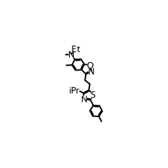 CCN(C)c1cc2onc(CCc3sc(-c4ccc(C)cc4)nc3C(C)C)c2cc1C